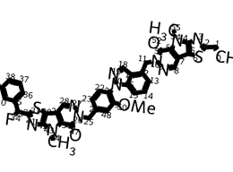 C=Cc1nc2c(s1)c1cnn(Cc3cccc4c3cnn4-c3ccc(Cn4ncc5c6sc(C(F)c7ccccc7)nc6n(C)c5c4=O)cc3OC)c(=O)c1n2C